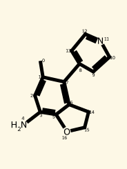 Cc1cc(N)c2c(c1-c1ccncc1)CCO2